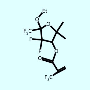 C=C(C(=O)OC1C(C)(C)OC(OCC)(C(F)(F)F)C1(F)F)C(F)(F)F